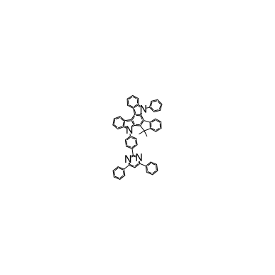 CC1(C)c2ccccc2-c2c1c1c(c3ccccc3n1-c1ccc(-c3nc(-c4ccccc4)cc(-c4ccccc4)n3)cc1)c1c3ccccc3n(-c3ccccc3)c21